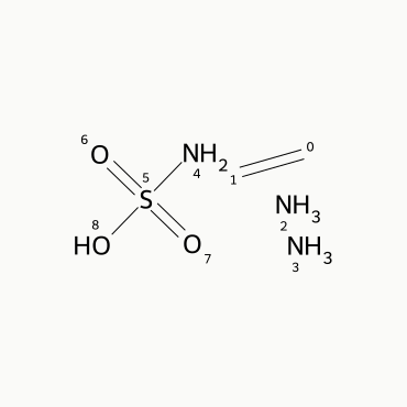 C=C.N.N.NS(=O)(=O)O